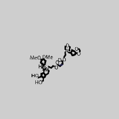 COc1ccc(C[C@@H]2c3cc(CO)c(CO)cc3CC[N@@+]2(C)CCCOC(=O)/C=C\C(=O)OCCC[N+]2(Cc3ccc4c(c3)OCCO4)CCOCC2)cc1OC